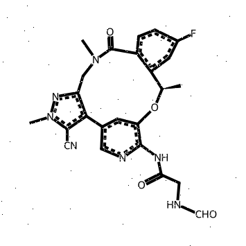 C[C@H]1Oc2cc(cnc2NC(=O)CNC=O)-c2c(nn(C)c2C#N)CN(C)C(=O)c2ccc(F)cc21